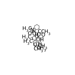 CC1=CC23C(=O)[C@@H](C=C4COC(C)(C)O[C@H]4[C@]2(O)[C@H]1OC(=O)N(C)C1CCCCC1)C(C)(C)[C@@H](C)CC3C